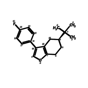 CC(C)(C)[C@H]1CCc2occ(-c3ccc(F)cc3)c2C1